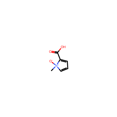 C[N+]1([O-])C=CC=C1C(=O)O